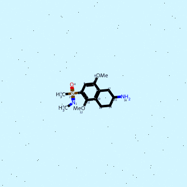 CN=S(C)(=O)c1cc(OC)c2c(c1OC)CCC(N)C2